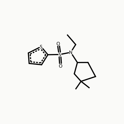 CCN(C1CCC(C)(C)C1)S(=O)(=O)c1cccs1